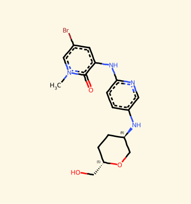 Cn1cc(Br)cc(Nc2ccc(N[C@@H]3CC[C@@H](CO)OC3)cn2)c1=O